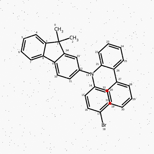 CC1(C)c2ccccc2-c2ccc(N(c3ccc(Br)cc3)c3ccccc3-c3ccccc3)cc21